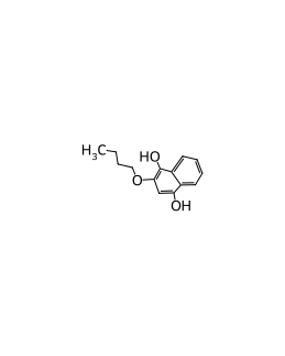 CCCCOc1cc(O)c2ccccc2c1O